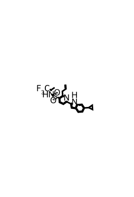 C=CCc1nc(-c2cc3ccc(C4CC4)cc3[nH]2)ccc1S(=O)(=O)NC(C)C(F)(F)F